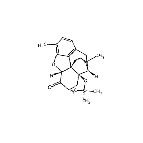 Cc1ccc2c3c1O[C@H]1C(=O)CC[C@@]4(O[Si](C)(C)C)[C@@H](C2)N(C)CC[C@]314